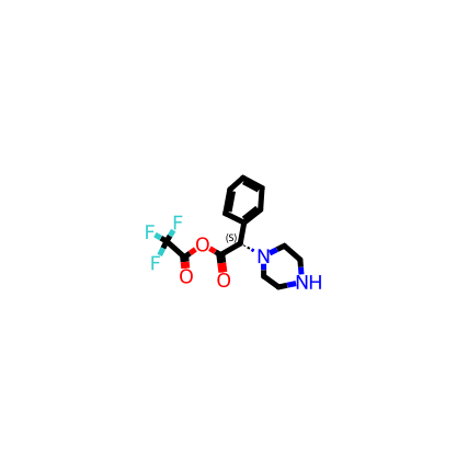 O=C(OC(=O)C(F)(F)F)[C@H](c1ccccc1)N1CCNCC1